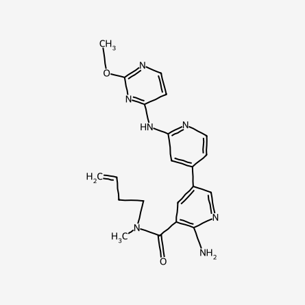 C=CCCN(C)C(=O)c1cc(-c2ccnc(Nc3ccnc(OC)n3)c2)cnc1N